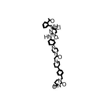 COc1cc(N2CCN(C(=O)CN3CCC(c4ccc(CN5CCC(=O)NC5=O)cc4)CC3)CC2)ccc1Nc1ncc(Cl)c(Nc2ccccc2C(C)=O)n1